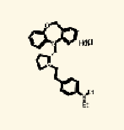 CCN(CC)c1ccc(CCN2CCC[C@@H]2CN2c3ccccc3COc3ccccc32)cc1.Cl.Cl